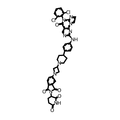 O=C1CCC(N2C(=O)c3ccc(N4CC(N5CCC(c6ccc(Nc7ncc8c(=O)n(-c9c(Cl)cccc9Cl)c9nccn9c8n7)cc6)CC5)C4)cc3C2=O)C(=O)N1